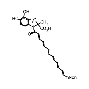 CCCCCCCCCC=CC=CC=CC=CC=CC=CC(=O)N(c1ccc(O)c(O)c1)C(C)(C)C(=O)O